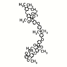 CCc1cc(Cc2cc(CC)c(N3C(=O)c4ccc(Oc5ccc(C(C)(C)c6ccc(Oc7ccc8c(c7)C(=O)N(c7c(CC)cc(Cc9cc(CC)c(N%10C(=O)C=CC%10=O)c(CC)c9)cc7CC)C8=O)cc6)cc5)cc4C3=O)c(CC)c2)cc(CC)c1C